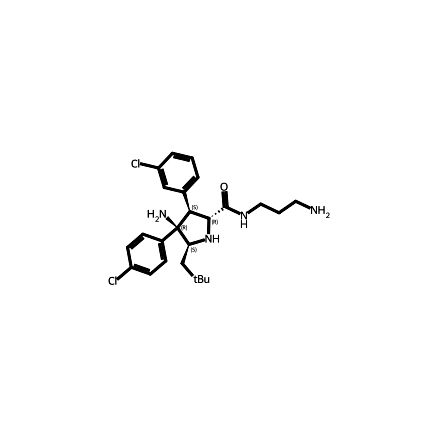 CC(C)(C)C[C@@H]1N[C@@H](C(=O)NCCCN)[C@H](c2cccc(Cl)c2)[C@@]1(N)c1ccc(Cl)cc1